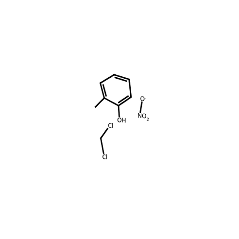 Cc1ccccc1O.ClCCl.[O][N+](=O)[O-]